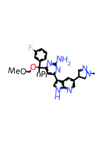 CCCC(OCOC)(c1cccc(F)c1)c1cc(-c2c[nH]c3ncc(C4C=NN(C)C4)cc23)nc(N)n1